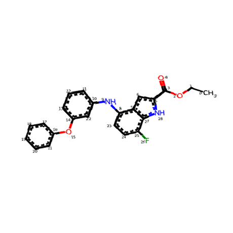 CCOC(=O)c1cc2c(Nc3cccc(Oc4ccccc4)c3)ccc(F)c2[nH]1